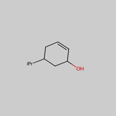 CC(C)C1CC=CC(O)C1